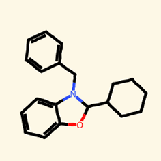 c1ccc(CN2c3ccccc3OC2C2CCCCC2)cc1